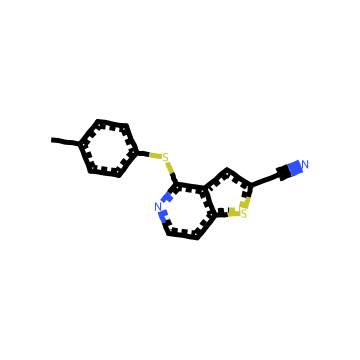 Cc1ccc(Sc2nccc3sc(C#N)cc23)cc1